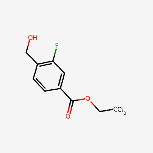 O=C(OCC(Cl)(Cl)Cl)c1ccc(CO)c(F)c1